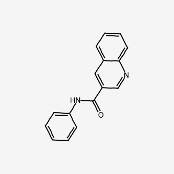 O=C(Nc1ccccc1)c1cnc2ccccc2c1